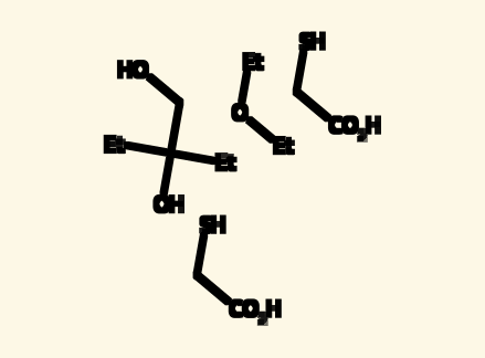 CCC(O)(CC)CO.CCOCC.O=C(O)CS.O=C(O)CS